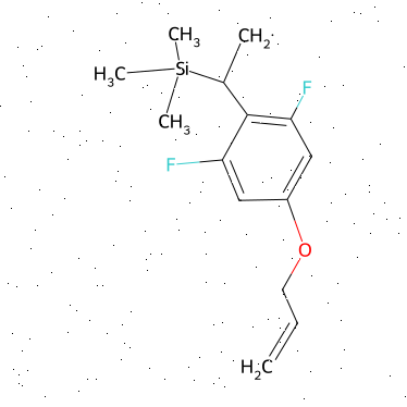 [CH2]C(c1c(F)cc(OCC=C)cc1F)[Si](C)(C)C